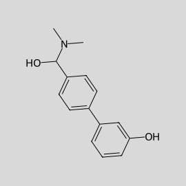 CN(C)C(O)c1ccc(-c2cccc(O)c2)cc1